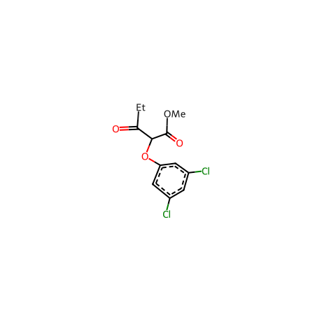 CCC(=O)C(Oc1cc(Cl)cc(Cl)c1)C(=O)OC